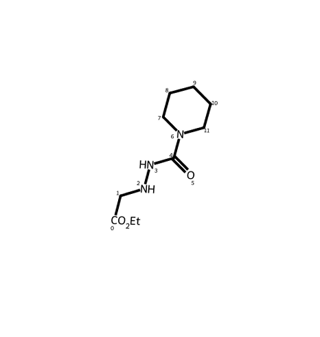 CCOC(=O)CNNC(=O)N1CCCCC1